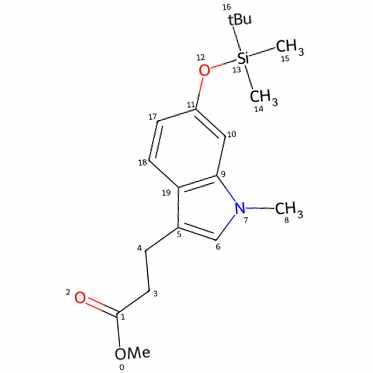 COC(=O)CCc1cn(C)c2cc(O[Si](C)(C)C(C)(C)C)ccc12